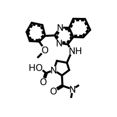 COc1ccccc1-c1nc(NC2CC(C(=O)N(C)C)N(C(=O)O)C2)c2ccccc2n1